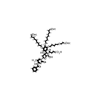 CCCCCCCCCCCCCCCCCCOc1cc(C(OC(=O)CCC(=O)O)[C@]2(O)C[C@H](n3cc(C)c(NC(=O)c4ccccc4)nc3=O)O[C@@H]2CO)cc(OCCCCCCCCCCCCCCCCCC)c1OCCCCCCCCCCCCCCCCCC